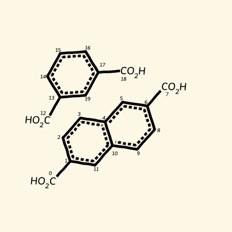 O=C(O)c1ccc2cc(C(=O)O)ccc2c1.O=C(O)c1cccc(C(=O)O)c1